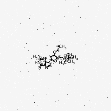 CSCOC1C[C@H](n2cnc3c(=O)[nH]c(N)nc32)O[C@@H]1CO[Si](C)(C)C(C)(C)C